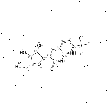 O=c1nc2[nH]c(C(F)(F)F)ccc-2cc1[C@@H]1O[C@H](CO)C(O)[C@@H]1O